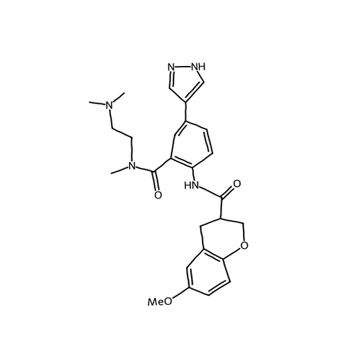 COc1ccc2c(c1)CC(C(=O)Nc1ccc(-c3cn[nH]c3)cc1C(=O)N(C)CCN(C)C)CO2